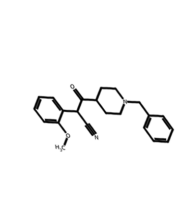 COc1ccccc1C(C#N)C(=O)C1CCN(Cc2ccccc2)CC1